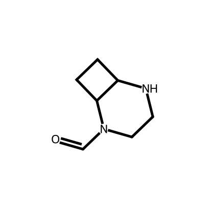 O=CN1CCNC2CCC21